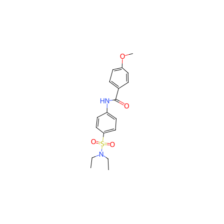 CCN(CC)S(=O)(=O)c1ccc(NC(=O)c2ccc(OC)cc2)cc1